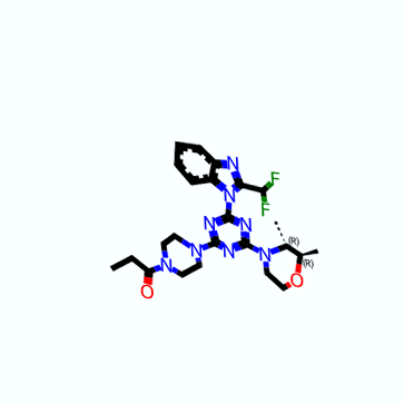 CCC(=O)N1CCN(c2nc(N3CCO[C@H](C)[C@H]3C)nc(-n3c(C(F)F)nc4ccccc43)n2)CC1